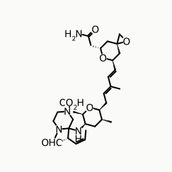 C/C=C\[C@H](C=O)C1(N[C@@H]2C[C@H](C)[C@H](C/C=C(C)/C=C/[C@@H]3C[C@]4(CO4)C[C@@H](CC(N)=O)O3)O[C@@H]2C)CN(C(=O)O)CCN1C